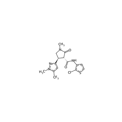 CN1C[C@H](c2cc(C(F)(F)F)n(C)n2)[C@@H](C(=O)Nc2ccsc2Cl)C1=O